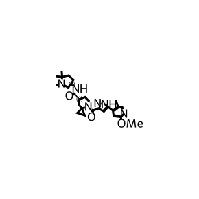 COc1cc(-c2cc(C(=O)N3CC[C@H](C(=O)N[C@@H]4CCC(C)(C)N(C)C4)CC34CC4)n[nH]2)c(C)cn1